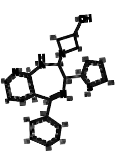 OC1CN(C2Nc3ncccc3C(c3ccccc3)=NC2c2cccs2)C1